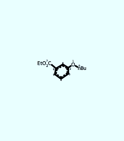 CCCCOc1cccc(C(=O)OCC)c1